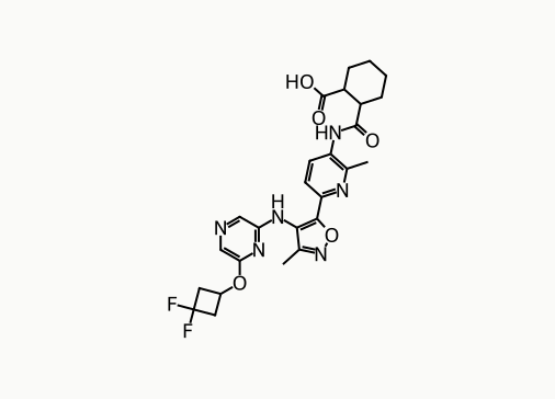 Cc1nc(-c2onc(C)c2Nc2cncc(OC3CC(F)(F)C3)n2)ccc1NC(=O)C1CCCCC1C(=O)O